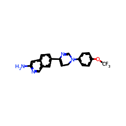 Nc1cc2ccc(C3=CCN(c4ccc(OC(F)(F)F)cc4)C=N3)cc2cn1